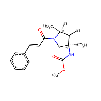 CCC1[C@](CC)(C(=O)O)N(C(=O)C=Cc2ccccc2)C[C@@]1(NC(=O)OC(C)(C)C)C(=O)O